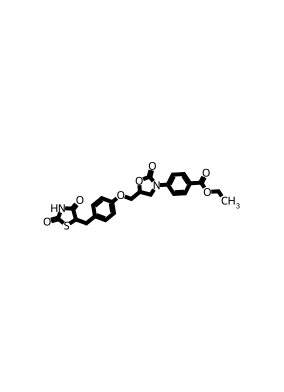 CCOC(=O)c1ccc(N2CC(COc3ccc(CC4SC(=O)NC4=O)cc3)OC2=O)cc1